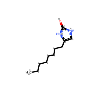 CCCCCCCCc1c[nH]c(=O)[nH]1